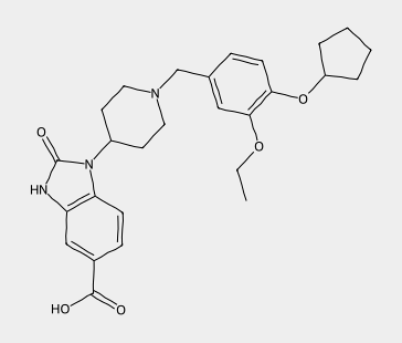 CCOc1cc(CN2CCC(n3c(=O)[nH]c4cc(C(=O)O)ccc43)CC2)ccc1OC1CCCC1